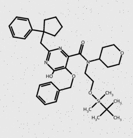 CC(C)(C)[Si](C)(C)OCCN(C(=O)c1nc(CC2(c3ccccc3)CCCC2)nc(O)c1OCc1ccccc1)C1CCOCC1